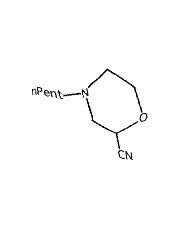 CCCCCN1CCOC(C#N)C1